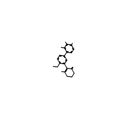 CCc1ccc(-c2ccc(Cl)c(F)c2F)cc1C1=C(O)CCCC1=O